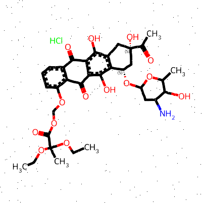 CCOC(C)(OCC)C(=O)OCOc1cccc2c1C(=O)c1c(O)c3c(c(O)c1C2=O)C[C@@](O)(C(C)=O)C[C@@H]3OC1CC(N)C(O)C(C)O1.Cl